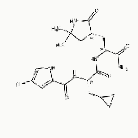 CC1(C)C[C@@H](C[C@H](NC(=O)[C@H](CC2CC2)NC(=O)c2cc(Cl)c[nH]2)C(N)=O)C(=O)N1